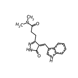 CN(C)C(=O)CCC1=NNC(=O)C1=Cc1c[nH]c2ccccc12